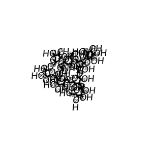 CC(=O)NC1C(OC2C(COC3OC(C)C(O)C(O)C3O)OC(O)C(C)C2O)OC(CO)C(OC2OC(COC3OC(COC4OC(CO)C(O)C(O)C4O)C(O)C(OC4OC(CO)C(O)C(O)C4O)C3O)C(O)C(OC3OC(CO)C(O)C(O)C3O)C2O)C1O